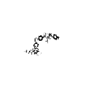 CC(C)(C)OC(=O)N1CCC(Oc2ccc(C(=O)Nc3nnc(-c4ccc(F)cc4)o3)cc2)CC1